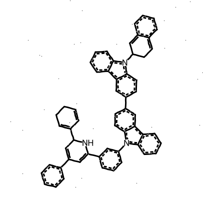 C1=CC(C2C=C(c3ccccc3)C=C(c3cccc(-n4c5ccccc5c5cc(-c6ccc7c(c6)c6ccccc6n7C6C=c7ccccc7=CC6)ccc54)c3)N2)=CCC1